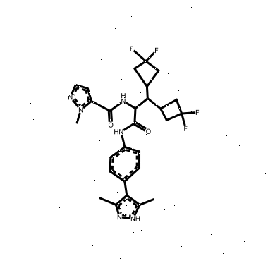 Cc1n[nH]c(C)c1-c1ccc(NC(=O)C(NC(=O)c2ccnn2C)C(C2CC(F)(F)C2)C2CC(F)(F)C2)cc1